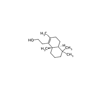 CC1=C(CCO)[C@@]2(C)CCCC(C)(C)[C@@H]2CC1